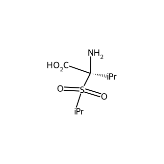 CC(C)[C@@](N)(C(=O)O)S(=O)(=O)C(C)C